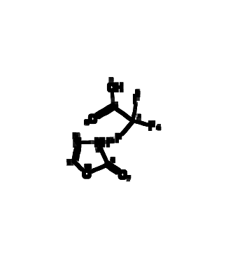 O=C(O)C(F)(F)F.O=c1[nH]nco1